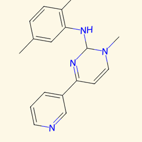 Cc1ccc(C)c(NC2N=C(c3cccnc3)C=CN2C)c1